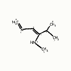 C=N/C=C(\NC)C(C)C